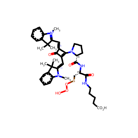 CN1/C(=C/C2=C(N3CCC[C@@H]3C(=O)N[C@@H](CSOOO)C(=O)NCCCCC(=O)O)C(=C/C3=[N+](C)c4ccccc4C3(C)C)/C2=O)C(C)(C)c2ccccc21